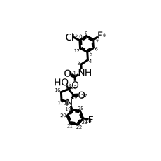 O=C(NCCc1cc(F)cc(Cl)c1)O[C@@]1(O)CCN(c2cccc(F)c2)C1=O